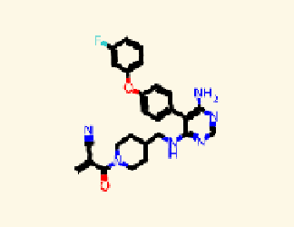 C=C(C#N)C(=O)N1CCC(CNc2ncnc(N)c2-c2ccc(Oc3cccc(F)c3)cc2)CC1